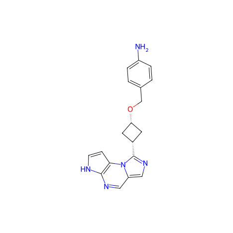 Nc1ccc(CO[C@H]2C[C@@H](c3ncc4cnc5[nH]ccc5n43)C2)cc1